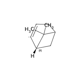 CC1(C)C2CC=[C][C@H]1C2